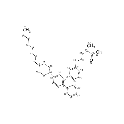 CCCCCCCC[C@H]1CC[C@H](c2ccc(-c3ccccc3-c3ccc(CCCC(C)C(=O)O)cc3)cc2)CC1